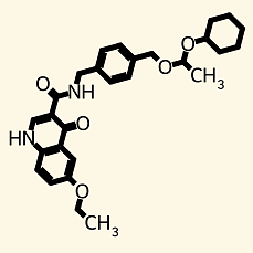 CCOc1ccc2[nH]cc(C(=O)NCc3ccc(COC(C)OC4CCCCC4)cc3)c(=O)c2c1